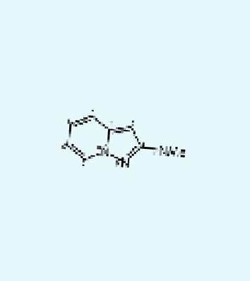 CNc1cc2ccccn2n1